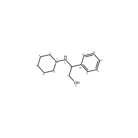 OCC(NN1CCCCC1)c1ccccc1